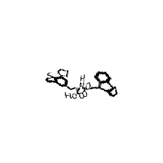 O=C(N[C@@H](CCc1cc(Cl)c2sccc2c1)C(=O)O)OCC1c2ccccc2-c2ccccc21